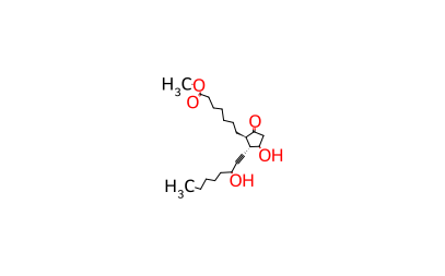 CCCCC[C@H](O)C#C[C@H]1[C@H](O)CC(=O)[C@@H]1CCCCCCC(=O)OC